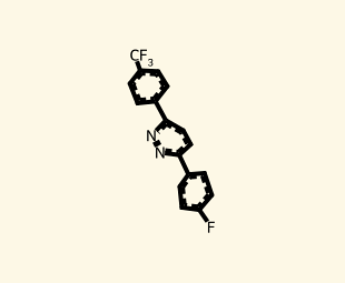 Fc1ccc(-c2ccc(-c3ccc(C(F)(F)F)cc3)nn2)cc1